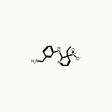 CCC1([N+](=O)[O-])C=CC=NC1Nc1cccc(CN)c1